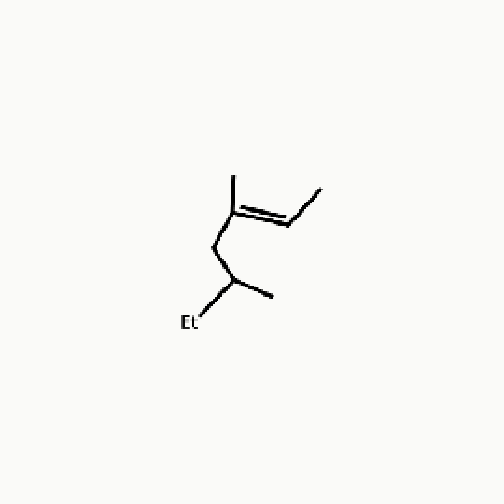 CC=C(C)CC(C)CC